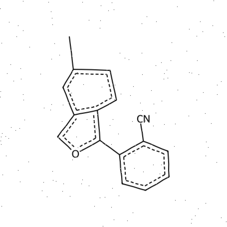 Cc1ccc2c(-c3ccccc3C#N)occ2c1